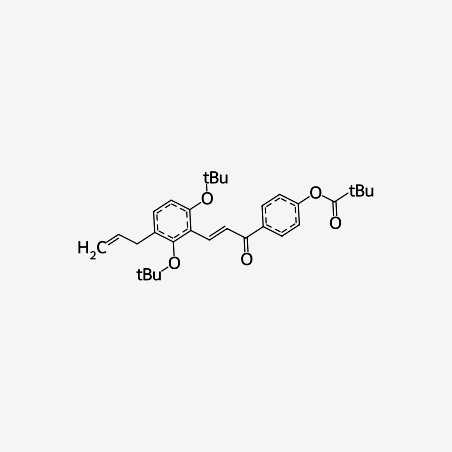 C=CCc1ccc(OC(C)(C)C)c(/C=C/C(=O)c2ccc(OC(=O)C(C)(C)C)cc2)c1OC(C)(C)C